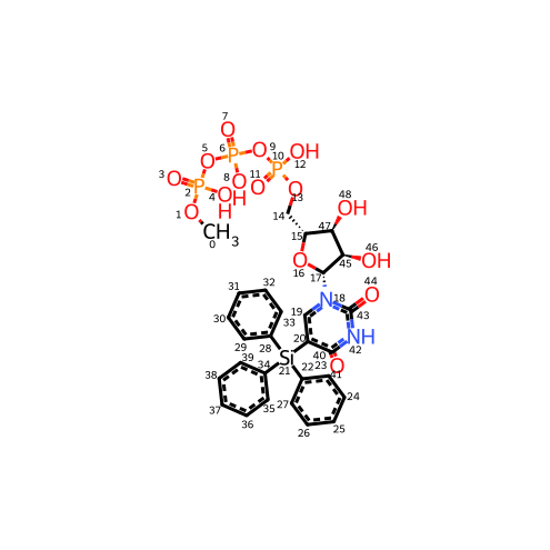 COP(=O)(O)OP(=O)(O)OP(=O)(O)OC[C@H]1O[C@@H](n2cc([Si](c3ccccc3)(c3ccccc3)c3ccccc3)c(=O)[nH]c2=O)[C@H](O)[C@@H]1O